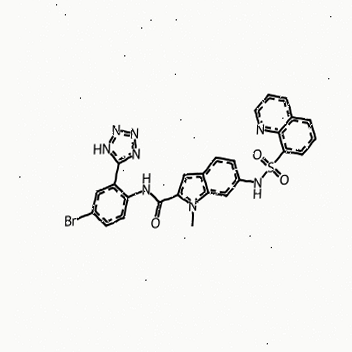 Cn1c(C(=O)Nc2ccc(Br)cc2-c2nnn[nH]2)cc2ccc(NS(=O)(=O)c3cccc4cccnc34)cc21